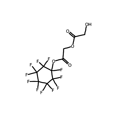 O=C(CO)OCC(=O)OC1(F)C(F)(F)C(F)(F)C(F)(F)C(F)(F)C1(F)F